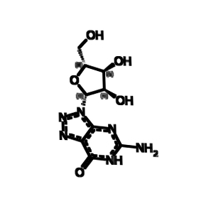 Nc1nc2c(nnn2[C@@H]2O[C@H](CO)[C@@H](O)[C@H]2O)c(=O)[nH]1